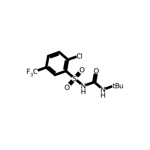 CC(C)(C)NC(=O)NS(=O)(=O)c1cc(C(F)(F)F)ccc1Cl